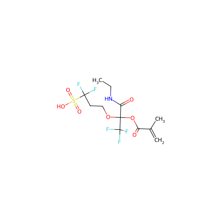 C=C(C)C(=O)OC(OCCC(F)(F)S(=O)(=O)O)(C(=O)NCC)C(F)(F)F